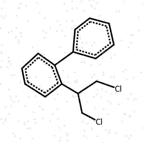 ClCC(CCl)c1ccccc1-c1ccccc1